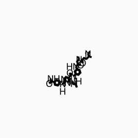 CCCNc1nc(Nc2ccc(C(N)=O)cc2)ncc1C(=O)Nc1cccc(NC(=O)CN(C)C(=O)/C=C/C(C)N(C)C)c1